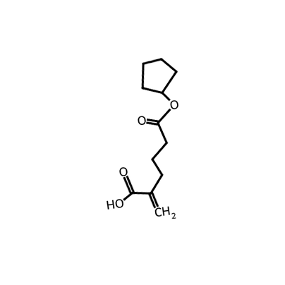 C=C(CCCC(=O)OC1CCCC1)C(=O)O